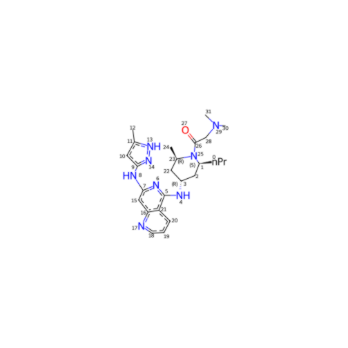 CCC[C@H]1C[C@H](Nc2nc(Nc3cc(C)[nH]n3)cc3ncccc23)C[C@@H](C)N1C(=O)CN(C)C